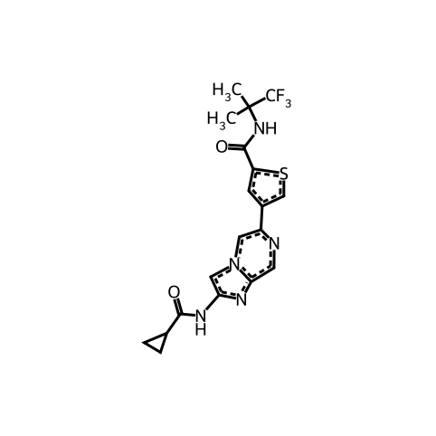 CC(C)(NC(=O)c1cc(-c2cn3cc(NC(=O)C4CC4)nc3cn2)cs1)C(F)(F)F